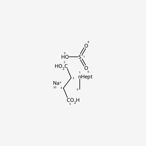 CCCCCCCC.O=C(O)CCC(=O)O.O=[S-](=O)O.[Na+]